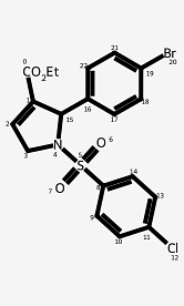 CCOC(=O)C1=CCN(S(=O)(=O)c2ccc(Cl)cc2)C1c1ccc(Br)cc1